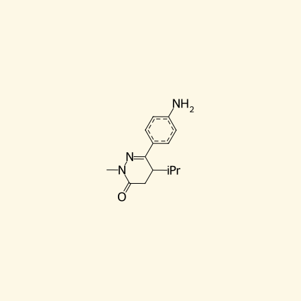 CC(C)C1CC(=O)N(C)N=C1c1ccc(N)cc1